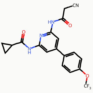 N#CCC(=O)Nc1cc(-c2ccc(OC(F)(F)F)cc2)cc(NC(=O)C2CC2)n1